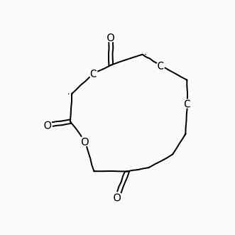 O=C1[CH]CCCCCCC(=O)COC(=O)[CH]C1